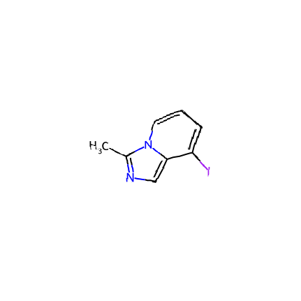 Cc1ncc2c(I)cccn12